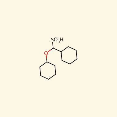 O=S(=O)(O)C(OC1CCCCC1)C1CCCCC1